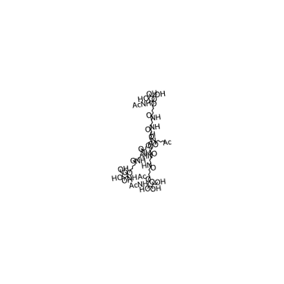 CC(=O)CCCC(=O)NC(COCCC(=O)NCCCNC(=O)CCCCOC1OC(CO)C(O)C(O)C1NC(C)=O)(COCCC(=O)NCCCNC(=O)CCCCOC1OC(CO)C(O)C(O)C1NC(C)=O)COCCC(=O)NCCCNC(=O)CCCCOC1OC(CO)C(O)C(O)C1NC(C)=O